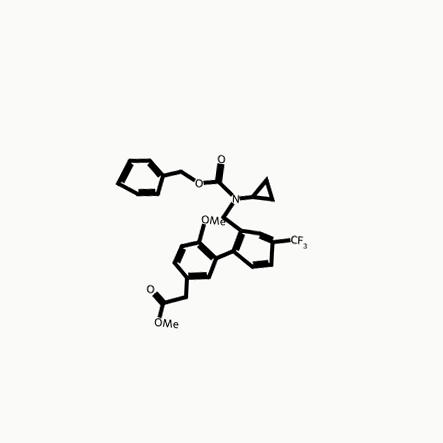 COC(=O)Cc1ccc(OC)c(-c2ccc(C(F)(F)F)cc2CN(C(=O)OCc2ccccc2)C2CC2)c1